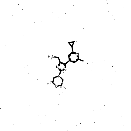 Cc1cc(-c2sc(N3C[C@@H](C)O[C@@H](C)C3)nc2CN)cc(C2CC2)n1